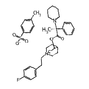 C[C@@](C(=O)OC1C[N+]2(CCc3ccc(F)cc3)CCC1CC2)(c1ccccc1)N1CCCCC1.Cc1ccc(S(=O)(=O)[O-])cc1